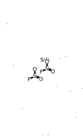 O=[Si]([O-])F.O=[Si]([O-])F.[Sr+2]